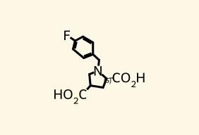 O=C(O)C1C[C@@H](C(=O)O)N(Cc2ccc(F)cc2)C1